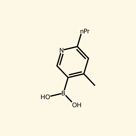 CCCc1cc(C)c(B(O)O)cn1